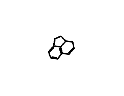 C1=Cc2cccc3c2C(C1)CC3